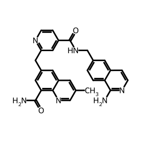 Cc1cnc2c(C(N)=O)cc(Cc3cc(C(=O)NCc4ccc5c(N)nccc5c4)ccn3)cc2c1